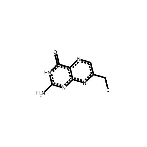 Nc1nc2nc(CCl)cnc2c(=O)[nH]1